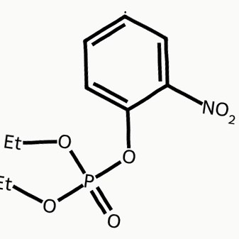 CCOP(=O)(OCC)Oc1cc[c]cc1[N+](=O)[O-]